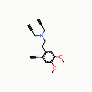 C#CCN(CC#C)CCc1cc(OC)c(OC)cc1C#C